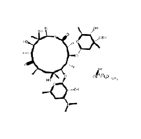 CC[C@H]1OC(=O)[C@H](C)[C@@H](O[C@H]2C[C@@](C)(OC)[C@@H](O)[C@H](C)O2)[C@H](C)[C@@H](O[C@@H]2O[C@H](C)C[C@H](N(C)C)[C@H]2O)[C@](C)(O)C[C@@H](C)C(=O)[C@H](C)[C@@H](O)[C@]1(C)O.N#CS.O.O.O